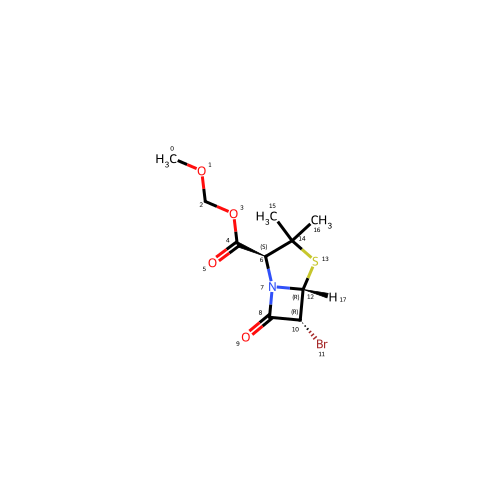 COCOC(=O)[C@@H]1N2C(=O)[C@@H](Br)[C@H]2SC1(C)C